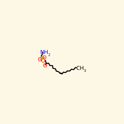 CCCCCCCC/C=C\CCCCCCCC(=O)COS(=O)(=O)CCN